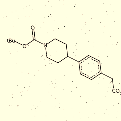 CC(C)(C)OC(=O)N1CCC(c2ccc(CC(=O)O)cc2)CC1